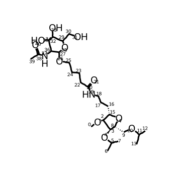 CO[C@@H]1[C@H](OC(C)C)[C@@H](COC(C)C)O[C@H]1CCCNC(=O)CCCCOC1OC(CO)C(O)C(O)C1NC(C)=O